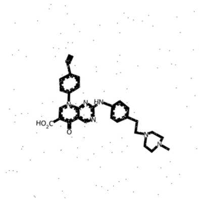 C#Cc1ccc(-n2cc(C(=O)O)c(=O)c3cnc(Nc4ccc(CCN5CCN(C)CC5)cc4)nc32)cc1